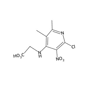 Cc1nc(Cl)c([N+](=O)[O-])c(NCC(=O)O)c1C